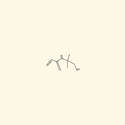 C=CC(=O)NC(C)(C)CS